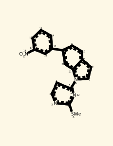 CSc1nccc(-n2ccc3ccc(-c4cccc([N+](=O)[O-])c4)cc32)n1